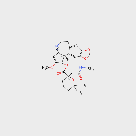 CNC(=O)C[C@]1(C(=O)OC2C(OC)=CC34CCCN3CCc3cc5c(cc3[C@H]24)OCO5)CCCC(C)(C)O1